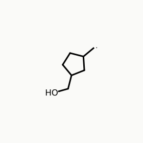 [CH2]C1CCC(CO)C1